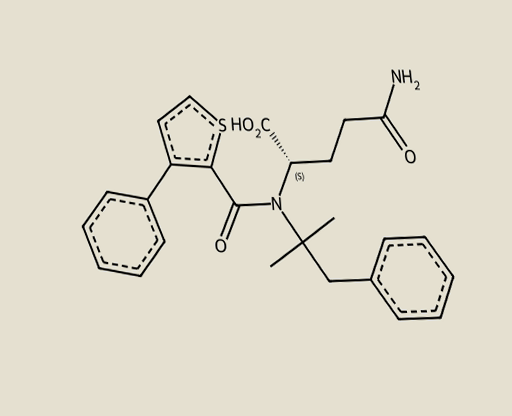 CC(C)(Cc1ccccc1)N(C(=O)c1sccc1-c1ccccc1)[C@@H](CCC(N)=O)C(=O)O